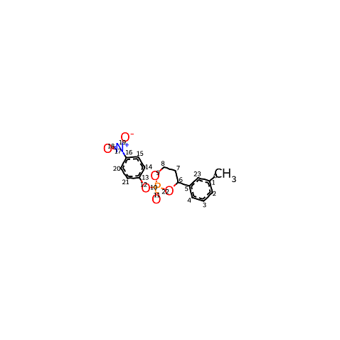 Cc1cccc(C2CCOP(=O)(Oc3ccc([N+](=O)[O-])cc3)O2)c1